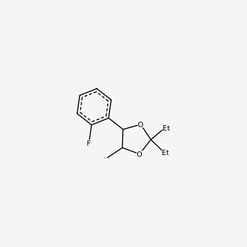 [CH2]C1OC(CC)(CC)OC1c1ccccc1F